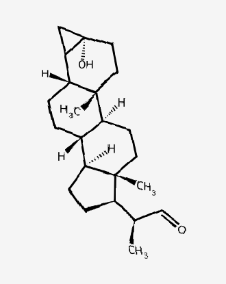 C[C@H](C=O)[C@H]1CC[C@H]2[C@@H]3CC[C@@H]4C5C[C@@]5(O)CC[C@]4(C)[C@H]3CC[C@]12C